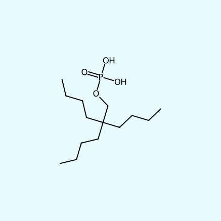 CCCCC(CCCC)(CCCC)COP(=O)(O)O